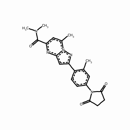 Cc1cc(N2C(=O)CCC2=O)ccc1-c1cc2nc(C(=O)N(C)C)cc(C)n2n1